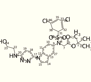 CC(C)(C)OC(=O)CN(c1ccc2c(ccn2-c2ccc(NCCO)nn2)c1)S(=O)(=O)C1C=C(Cl)C=C(Cl)C1